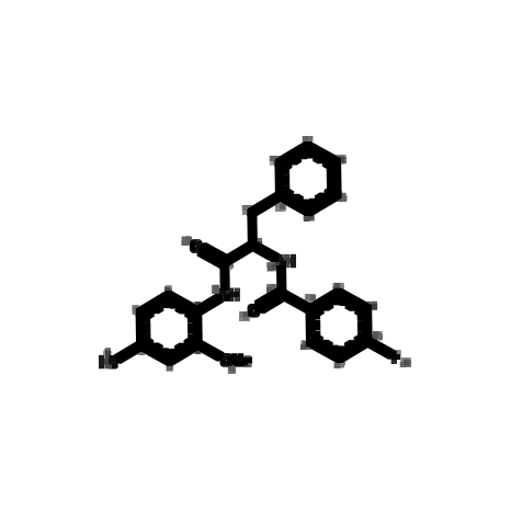 COc1cc(S)ccc1NC(=O)C(Cc1ccccc1)NC(=O)c1ccc(F)cc1